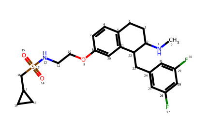 CNC1CCc2ccc(OCCNS(=O)(=O)CC3CC3)cc2C1Cc1cc(F)cc(F)c1